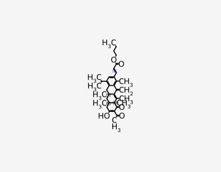 C=C1C2=C(C)[C@@]3(C)C(=O)C(C(C)=O)=C(O)C[C@@]3(C)C[C@@]2(C)Cc2c(C(C)C)cc(/C=C/C(=O)OCCCC)c(C)c21